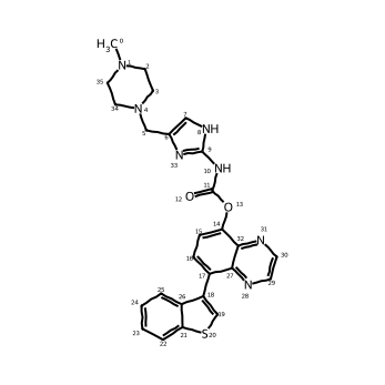 CN1CCN(Cc2c[nH]c(NC(=O)Oc3ccc(-c4csc5ccccc45)c4nccnc34)n2)CC1